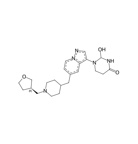 O=C1CCN(c2cnn3ccc(CC4CCN(C[C@H]5CCOC5)CC4)cc23)C(O)N1